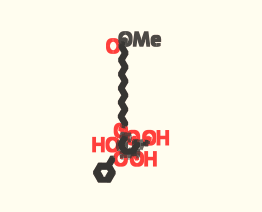 COC(=O)CCCCCCCCCCCO[C@@H]1O[C@H](CO)[C@@H](O)[C@H](OCc2ccccc2)[C@H]1O